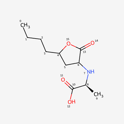 CCCCC1CC(N[C@@H](C)C(=O)O)C(=O)O1